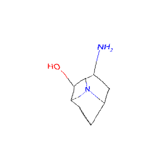 CN1C2CC(N)C(O)C1C2